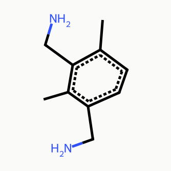 Cc1ccc(CN)c(C)c1CN